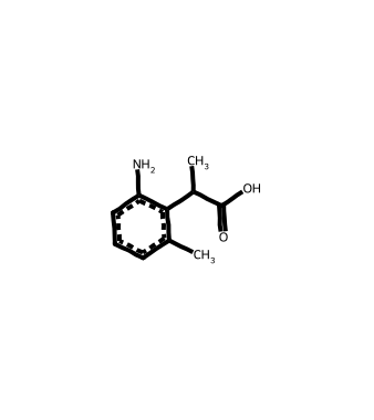 Cc1cccc(N)c1C(C)C(=O)O